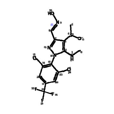 CNc1c([S+](C)[O-])c(/C=N/O)nn1-c1c(Cl)cc(C(F)(F)F)cc1Cl